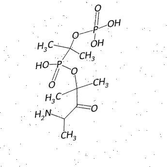 CC(N)C(=O)C(C)(C)OP(=O)(O)C(C)(C)OP(=O)(O)O